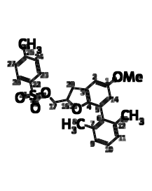 COc1cc2c(c(-c3c(C)cccc3C)c1)OC(COS(=O)(=O)c1ccc(C)cc1)C2